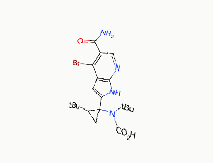 CC(C)(C)C1CC1(c1cc2c(Br)c(C(N)=O)cnc2[nH]1)N(C(=O)O)C(C)(C)C